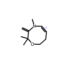 C=C1N(C)/C=C\CCOC1(C)C